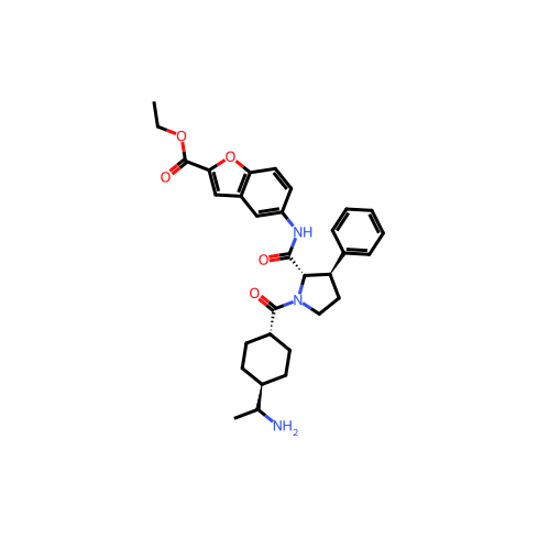 CCOC(=O)c1cc2cc(NC(=O)[C@@H]3[C@@H](c4ccccc4)CCN3C(=O)[C@H]3CC[C@H](C(C)N)CC3)ccc2o1